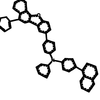 C1=CCCC(c2cc3c4cc(-c5ccc(N(c6ccccc6)c6ccc(-c7cccc8ccccc78)cc6)cc5)ccc4oc3c3ccccc23)=C1